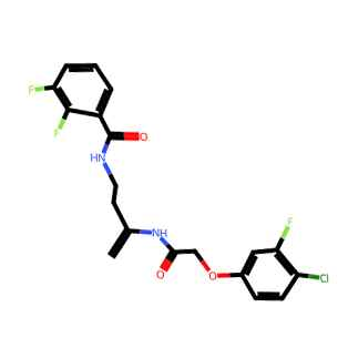 C=C(CCNC(=O)c1cccc(F)c1F)NC(=O)COc1ccc(Cl)c(F)c1